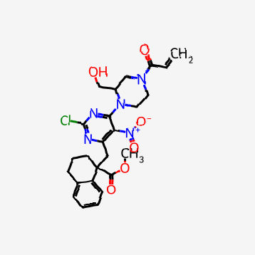 C=CC(=O)N1CCN(c2nc(Cl)nc(CC3(C(=O)OC)CCCc4ccccc43)c2[N+](=O)[O-])C(CO)C1